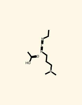 CC(=O)O.CCN=C=NCCCN(C)C